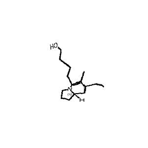 CCC1C[C@@H]2CCCN2C(CCCCO)=C1C